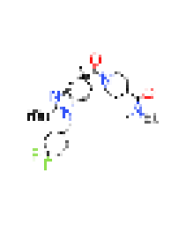 CCN(C)C(=O)C1CCN(C(=O)[C@@]2(C)C=c3nc(C(C)(C)C)n(CC4CCC(F)(F)CC4)c3=CC2)CC1